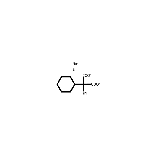 CC(C)C(C(=O)[O-])(C(=O)[O-])C1CCCCC1.[Li+].[Na+]